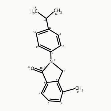 Cc1cccc2c1CN(c1ccc(C(C)C)cc1)C2=O